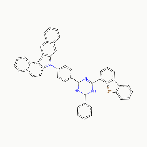 c1ccc(C2NC(c3cccc4c3sc3ccccc34)=NC(c3ccc(-n4c5cc6ccccc6cc5c5c6ccccc6ccc54)cc3)N2)cc1